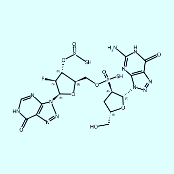 Nc1nc2c(nnn2[C@@H]2O[C@H](CO)C[C@H]2P(=O)(S)OC[C@H]2O[C@@H](n3nnc4c(=O)[nH]cnc43)[C@@H](F)[C@@H]2O[PH](=O)S)c(=O)[nH]1